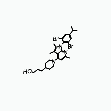 Cc1cc(N2CCC(CCCO)CC2)c2c(C)c(C)n(-c3c(Br)cc(C(C)C)cc3Br)c2n1